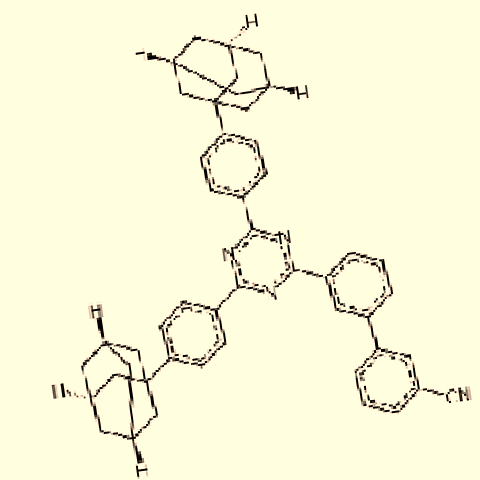 N#Cc1cccc(-c2cccc(-c3nc(-c4ccc(C56C[C@H]7C[C@@H](C5)C[C@@H](C6)C7)cc4)nc(-c4ccc(C56C[C@H]7C[C@@H](C5)C[C@@H](C6)C7)cc4)n3)c2)c1